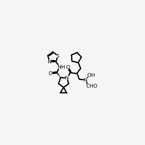 O=CN(O)CC(CC1CCCC1)C(=O)N1CC2(CC2)C[C@H]1C(=O)Nc1nccs1